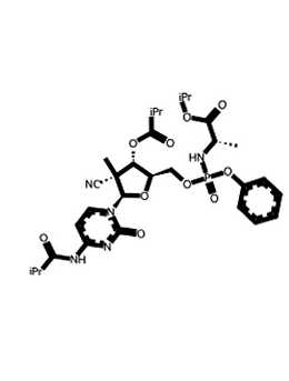 CC(C)OC(=O)[C@H](C)NP(=O)(OC[C@H]1O[C@@H](n2ccc(NC(=O)C(C)C)nc2=O)[C@](C)(C#N)[C@@H]1OC(=O)C(C)C)Oc1ccccc1